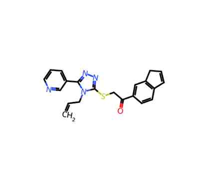 C=CCn1c(SCC(=O)c2ccc3c(c2)CC=C3)nnc1-c1cccnc1